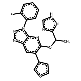 CC(Oc1nc2c(cc1-c1ccsc1)nnn2-c1ccccc1F)c1nc[nH]n1